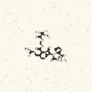 CC(=O)OCC1=C(C(=O)OCOC(=O)C(C)(C)C)N2C(=O)C(N(C(C)=O)n3ccnc3S(C)(=O)=O)C2SC1